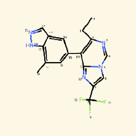 CCc1ncn2cc(C(F)(F)F)nc2c1-c1cc(C)c2[nH]ncc2c1